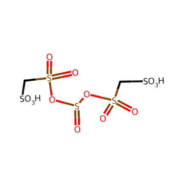 O=S(OS(=O)(=O)CS(=O)(=O)O)OS(=O)(=O)CS(=O)(=O)O